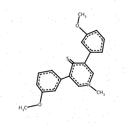 COc1cccc(-c2cn(C)cc(-c3cccc(OC)c3)c2=S)c1